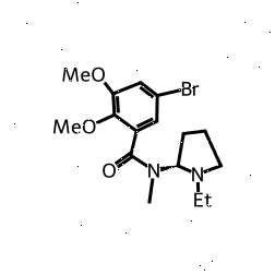 CCN1CCC[C@@H]1N(C)C(=O)c1cc(Br)cc(OC)c1OC